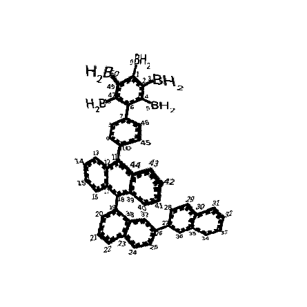 Bc1c(B)c(B)c(-c2ccc(-c3c4ccccc4c(-c4cccc5ccc(-c6ccc7ccccc7c6)cc45)c4ccccc34)cc2)c(B)c1B